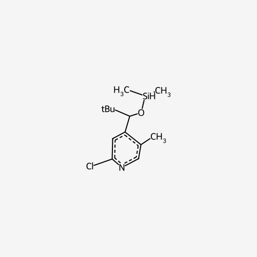 Cc1cnc(Cl)cc1C(O[SiH](C)C)C(C)(C)C